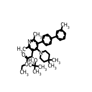 CCOC(=O)[C@@H](OC(C)(C)C)c1c(C)nc(C)c(-c2ccc(-c3cccc(C)c3)cc2)c1N1CCC(C)(C)CC1